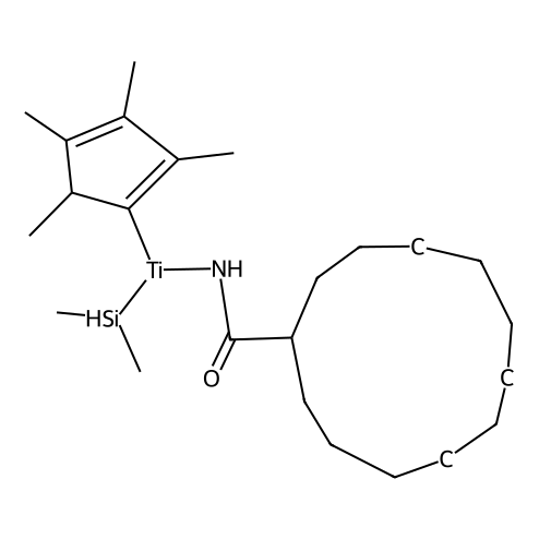 CC1=C(C)C(C)[C]([Ti]([NH]C(=O)C2CCCCCCCCCCC2)[SiH](C)C)=C1C